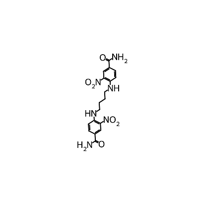 NC(=O)c1ccc(NCCCCNc2ccc(C(N)=O)cc2[N+](=O)[O-])c([N+](=O)[O-])c1